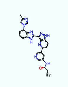 Cc1cn(-c2cccc3[nH]c(-c4n[nH]c5ccc(-c6cncc(NC(=O)CC(C)C)c6)nc45)nc23)cn1